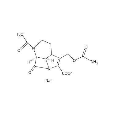 NC(=O)OCC1=C(C(=O)[O-])N2C(=O)[C@@H]3[C@H]2C1CCN3C(=O)C(F)(F)F.[Na+]